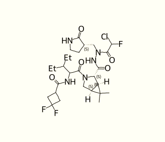 CCC(CC)C(NC(=O)C1CC(F)(F)C1)C(=O)N1C[C@H]2[C@@H]([C@H]1C(=O)NN(C[C@@H]1CCNC1=O)C(=O)C(F)Cl)C2(C)C